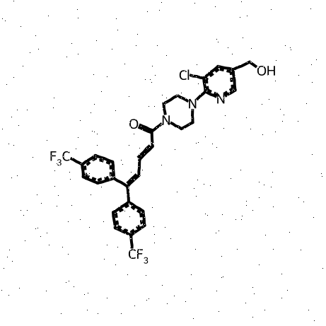 O=C(C=CC=C(c1ccc(C(F)(F)F)cc1)c1ccc(C(F)(F)F)cc1)N1CCN(c2ncc(CO)cc2Cl)CC1